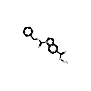 COC(=O)c1ccc2c(ccn2C(=O)OCc2ccccc2)c1